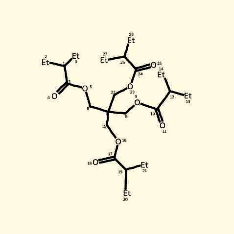 CCC(CC)C(=O)OCC(COC(=O)C(CC)CC)(COC(=O)C(CC)CC)COC(=O)C(CC)CC